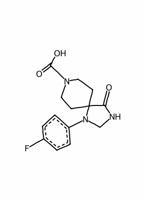 O=C(O)N1CCC2(CC1)C(=O)NCN2c1ccc(F)cc1